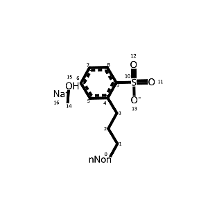 CCCCCCCCCCCCc1ccccc1S(=O)(=O)[O-].CO.[Na+]